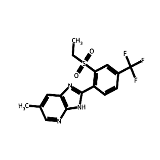 CCS(=O)(=O)c1cc(C(F)(F)F)ccc1-c1nc2cc(C)cnc2[nH]1